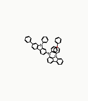 c1ccc(-c2ccc(-n3c4ccccc4c4cccc(N(c5ccccc5)c5ccc6c7ccc(-c8ccccc8)cc7n(-c7ccccc7)c6c5)c43)cc2)cc1